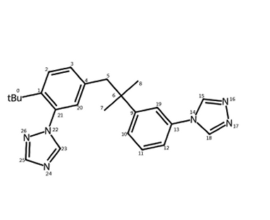 CC(C)(C)c1ccc(CC(C)(C)c2cccc(-n3cnnc3)c2)cc1-n1cncn1